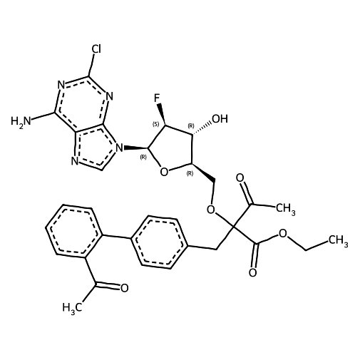 CCOC(=O)C(Cc1ccc(-c2ccccc2C(C)=O)cc1)(OC[C@H]1O[C@@H](n2cnc3c(N)nc(Cl)nc32)[C@@H](F)[C@@H]1O)C(C)=O